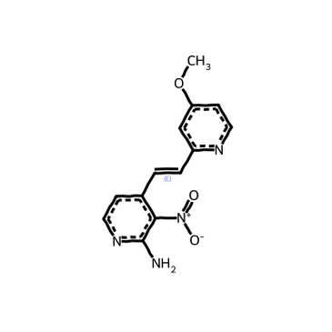 COc1ccnc(/C=C/c2ccnc(N)c2[N+](=O)[O-])c1